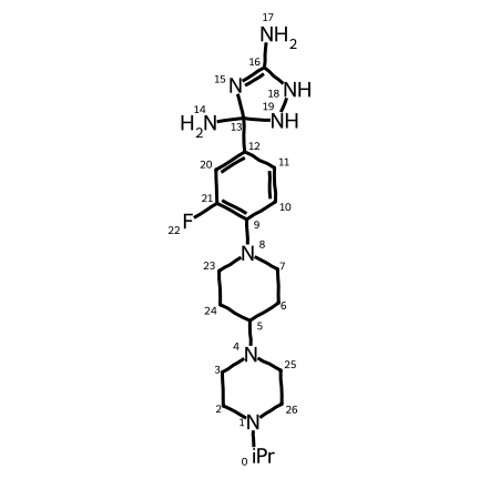 CC(C)N1CCN(C2CCN(c3ccc(C4(N)N=C(N)NN4)cc3F)CC2)CC1